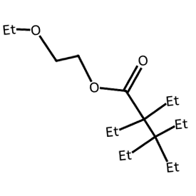 CCOCCOC(=O)C(CC)(CC)C(CC)(CC)CC